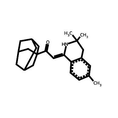 Cc1ccc2c(c1)CC(C)(C)N/C2=C\C(=O)C12CC3CC(CC(C3)C1)C2